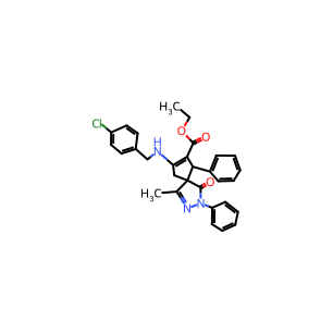 CCOC(=O)C1=C(NCc2ccc(Cl)cc2)CC2(C(=O)N(c3ccccc3)N=C2C)C1c1ccccc1